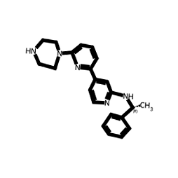 C[C@@H](Nc1cc(-c2cccc(N3CCNCC3)n2)ccn1)c1ccccc1